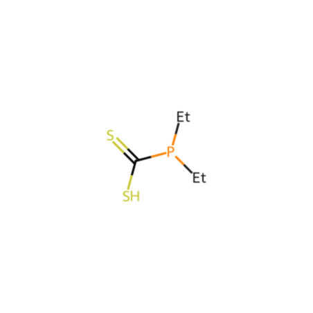 CCP(CC)C(=S)S